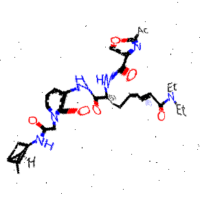 CCN(CC)C(=O)/C=C/CC[C@H](NC(=O)c1coc(C(C)=O)n1)C(=O)Nc1cccn(CC(=O)NC23CC(C2)[C@@H]3C)c1=O